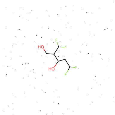 OCC(C(F)F)C(O)CC(F)F